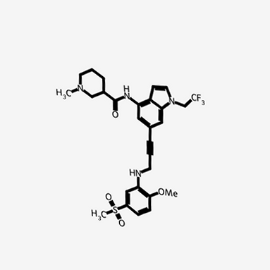 COc1ccc(S(C)(=O)=O)cc1NCC#Cc1cc(NC(=O)C2CCCN(C)C2)c2ccn(CC(F)(F)F)c2c1